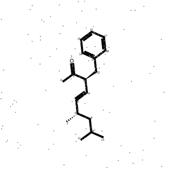 CC(=O)[C@H](/C=C/[C@@H](C)CC(C)C)Cc1ccccc1